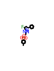 Cc1ccc(S(=O)(=O)OCc2nc3n(n2)C(c2ccccc2)CC3F)cc1